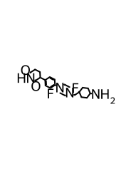 NC1CCC(F)(CN2CCN(c3ccc(C4CCC(=O)NC4=O)cc3F)CC2)CC1